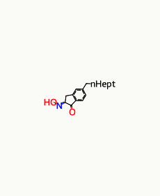 CCCCCCCCc1ccc2c(c1)CC(=NO)C2=O